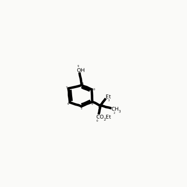 CCOC(=O)C(C)(CC)c1cccc(O)c1